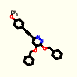 FC(F)(F)Oc1ccc(C#Cc2cc(OCc3ccccc3)c(OCc3ccccc3)nn2)cc1